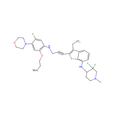 COCCOc1cc(N2CCOCC2)c(F)cc1NCC#Cc1sc2c(NC3CCN(C)CC3(F)F)cccc2c1CC(F)(F)F